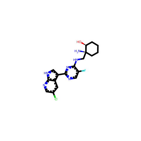 N[C@]1(CNc2nc(-c3c[nH]c4ncc(Cl)cc34)ncc2F)CCCC[C@@H]1O